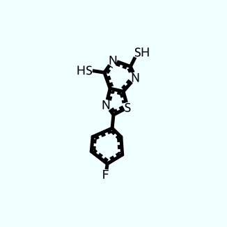 Fc1ccc(-c2nc3c(S)nc(S)nc3s2)cc1